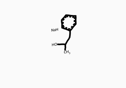 CC(O)Cc1ccccc1.[NaH]